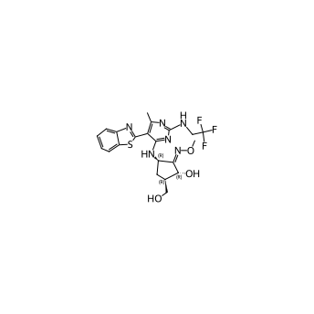 CON=C1[C@H](Nc2nc(NCC(F)(F)F)nc(C)c2-c2nc3ccccc3s2)C[C@H](CO)[C@H]1O